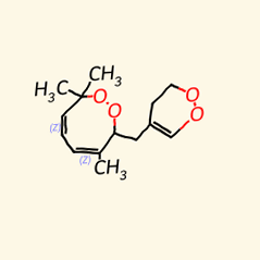 C/C1=C/C=C\C(C)(C)OOC1CC1=COOCC1